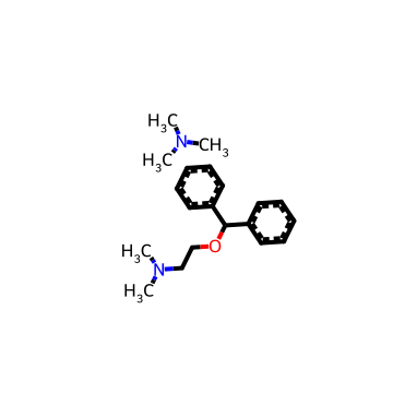 CN(C)C.CN(C)CCOC(c1ccccc1)c1ccccc1